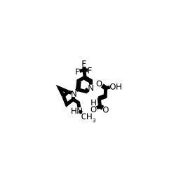 CNCC1CC2CC2N1c1cncc(C(F)(F)F)c1.O=C(O)/C=C/C(=O)O